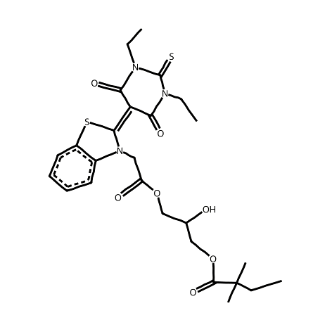 CCN1C(=O)C(=C2Sc3ccccc3N2CC(=O)OCC(O)COC(=O)C(C)(C)CC)C(=O)N(CC)C1=S